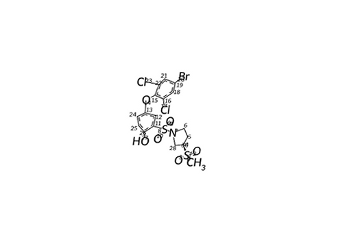 CS(=O)(=O)[C@@H]1CCN(S(=O)(=O)c2cc(Oc3c(Cl)cc(Br)cc3Cl)ccc2O)C1